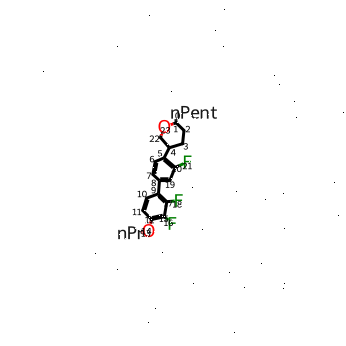 CCCCCC1CCC(c2ccc(-c3ccc(OCCC)c(F)c3F)cc2F)CO1